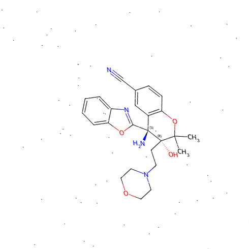 CC1(C)Oc2ccc(C#N)cc2[C@@](N)(c2nc3ccccc3o2)[C@]1(O)CCN1CCOCC1